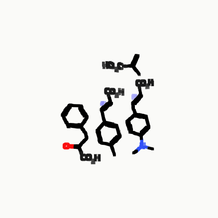 C=C(C)C(=O)O.CN(C)c1ccc(/C=C/C(=O)O)cc1.Cc1ccc(/C=C/C(=O)O)cc1.O=C(O)C(=O)Cc1ccccc1